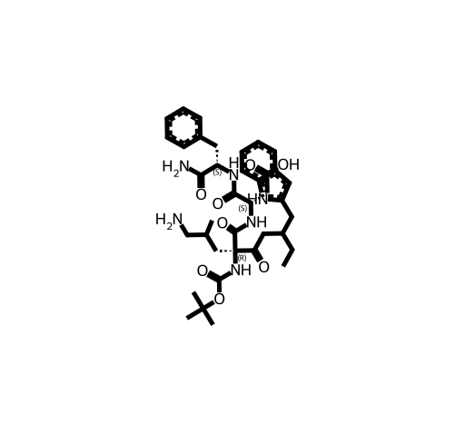 CCC(CC(=O)[C@@](CC(C)CN)(NC(=O)OC(C)(C)C)C(=O)N[C@@H](CC(=O)O)C(=O)N[C@@H](Cc1ccccc1)C(N)=O)Cc1cc2ccccc2[nH]1